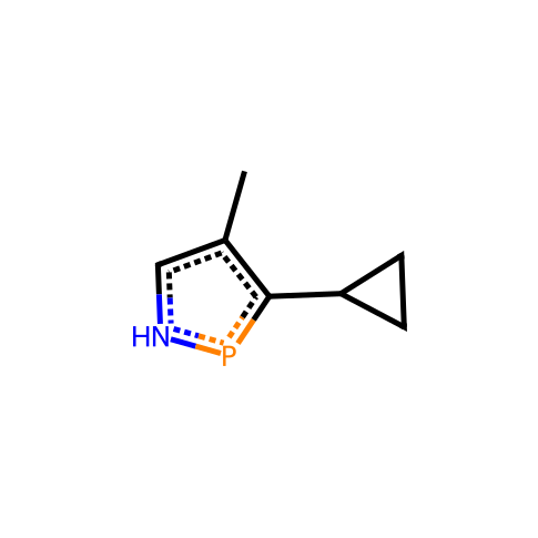 Cc1c[nH]pc1C1CC1